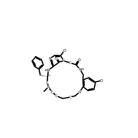 CN1CCCCCOc2ccc(Cl)cc2CNC(=O)Cn2c(Cl)cnc(c2=O)N[C@@H](Cc2ccccc2)C1